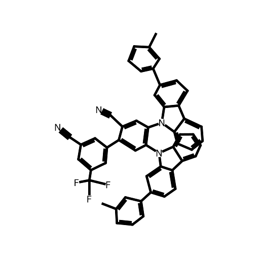 Cc1cccc(-c2ccc3c4ccccc4n(-c4cc(C#N)c(-c5cc(C#N)cc(C(F)(F)F)c5)cc4-n4c5ccccc5c5ccc(-c6cccc(C)c6)cc54)c3c2)c1